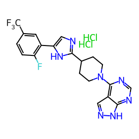 Cl.Cl.Fc1ccc(C(F)(F)F)cc1-c1cnc(C2CCN(c3ncnc4[nH]ncc34)CC2)[nH]1